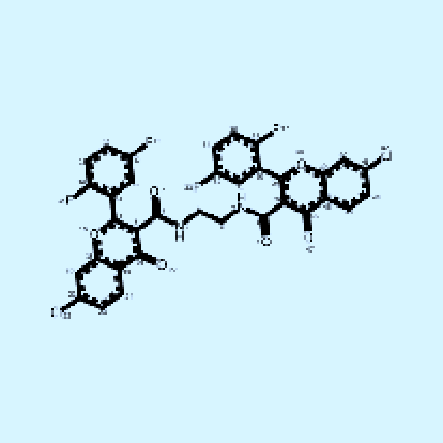 O=C(NCCNC(=O)c1c(-c2cc(F)ccc2F)oc2cc(Cl)ccc2c1=O)c1c(-c2cc(F)ccc2F)oc2cc(Cl)ccc2c1=O